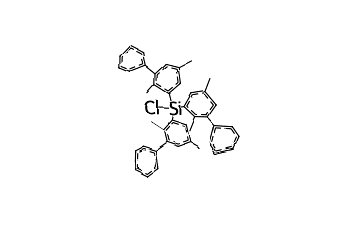 Cc1cc(-c2ccccc2)c(C)c([Si](Cl)(c2cc(C)cc(-c3ccccc3)c2C)c2cc(C)cc(-c3ccccc3)c2C)c1